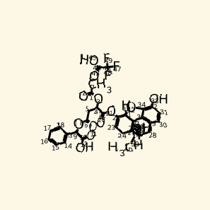 CC(=O)OC(CC(=O)OC(C(=O)O)c1ccccc1)C(=O)OC1=CC[C@@]2(O)[C@H]3Cc4ccc(O)c5c4[C@@]2(CCN3C)[C@H]1O5.O=C(O)C(F)(F)F